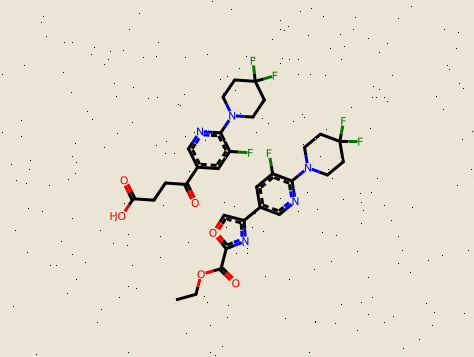 CCOC(=O)c1nc(-c2cnc(N3CCC(F)(F)CC3)c(F)c2)co1.O=C(O)CCC(=O)c1cnc(N2CCC(F)(F)CC2)c(F)c1